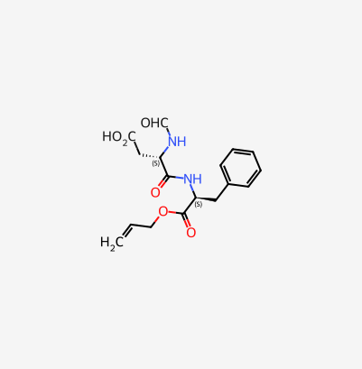 C=CCOC(=O)[C@H](Cc1ccccc1)NC(=O)[C@H](CC(=O)O)NC=O